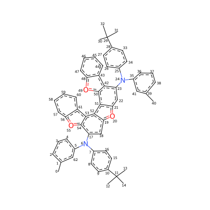 Cc1cccc(N(c2ccc(C(C)(C)C)cc2)c2cc3oc4cc(N(c5ccc(C(C)(C)C)cc5)c5cccc(C)c5)c5c6ccccc6oc5c4c3c3c2oc2ccccc23)c1